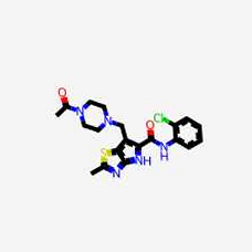 CC(=O)N1CCN(Cc2c(C(=O)Nc3ccccc3Cl)[nH]c3nc(C)sc23)CC1